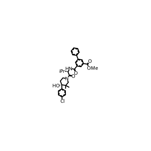 COC(=O)c1cc(C(=O)N[C@@H](C(=O)N2CC[C@](O)(c3ccc(Cl)cc3)C(C)(C)C2)C(C)C)cc(-c2ccccc2)c1